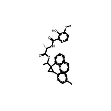 COc1ccnc(C(=O)N[C@@H](C)C(=O)OC(C)C2(c3cccc4ccccc34)CC2c2ccc(F)cc2)c1O